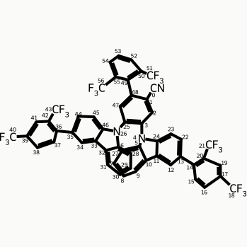 N#Cc1cc(-n2c3ccccc3c3cc(-c4ccc(C(F)(F)F)cc4C(F)(F)F)ccc32)c(-n2c3ccccc3c3cc(-c4ccc(C(F)(F)F)cc4C(F)(F)F)ccc32)cc1-c1c(C(F)(F)F)cccc1C(F)(F)F